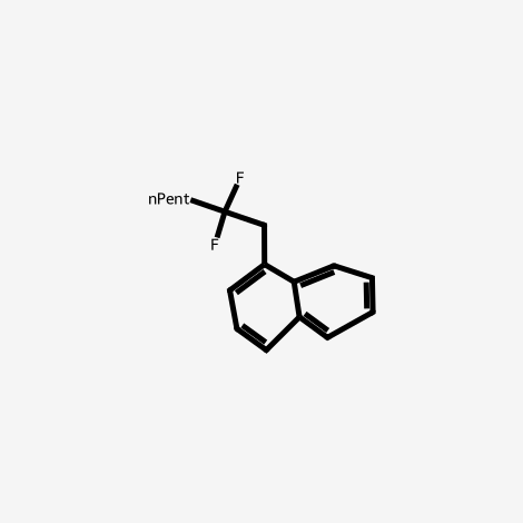 [CH2]CCCCC(F)(F)Cc1cccc2ccccc12